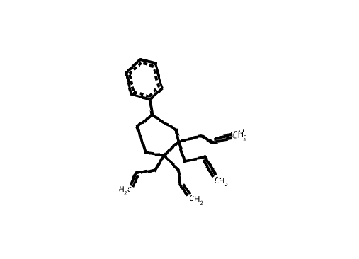 C=CCC1(CC=C)CCC(c2ccccc2)CC1(CC=C)CC=C